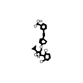 O=C(O)c1cccc(C#CC23CCC(OCc4c(-c5c(Cl)cccc5Cl)noc4C4CC4)(CC2)C3)c1